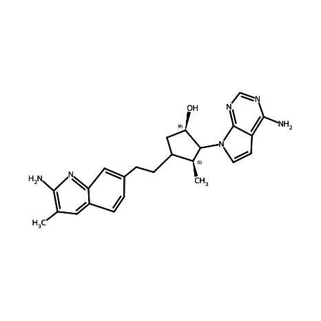 Cc1cc2ccc(CCC3C[C@@H](O)C(n4ccc5c(N)ncnc54)[C@H]3C)cc2nc1N